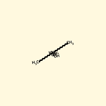 CCCCCCCCCCCCNCCCCCCCCCCCC.[O-][Cl+2]([O-])O